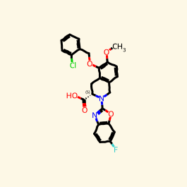 COc1ccc2c(c1OCc1ccccc1Cl)C[C@@H](C(=O)O)N(c1nc3ccc(F)cc3o1)C2